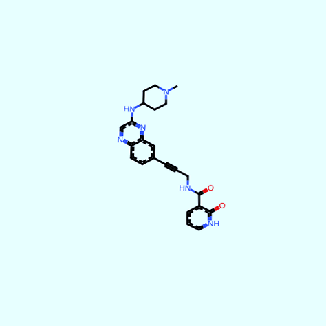 CN1CCC(Nc2cnc3ccc(C#CCNC(=O)c4ccc[nH]c4=O)cc3n2)CC1